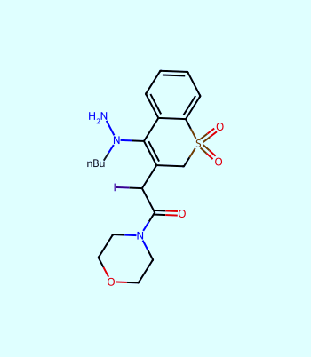 CCCCN(N)C1=C(C(I)C(=O)N2CCOCC2)CS(=O)(=O)c2ccccc21